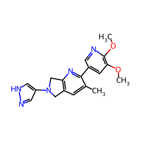 COc1cc(-c2nc3c(cc2C)CN(c2cn[nH]c2)C3)cnc1OC